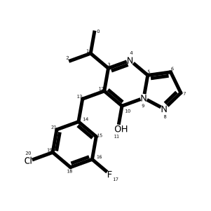 CC(C)c1nc2ccnn2c(O)c1Cc1cc(F)cc(Cl)c1